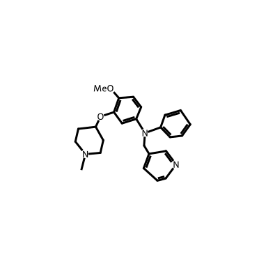 COc1ccc(N(Cc2cccnc2)c2ccccc2)cc1OC1CCN(C)CC1